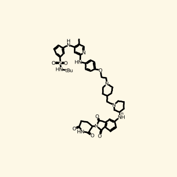 Cc1cnc(Nc2ccc(OCCN3CCC(CN4CCC[C@@H](Nc5ccc6c(c5)C(=O)N(C5CCC(=O)NC5=O)C6=O)C4)CC3)cc2)cc1Nc1cccc(S(=O)(=O)NC(C)(C)C)c1